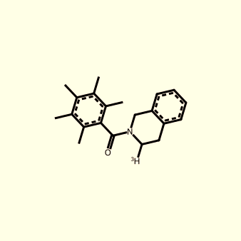 [3H]C1Cc2ccccc2CN1C(=O)c1c(C)c(C)c(C)c(C)c1C